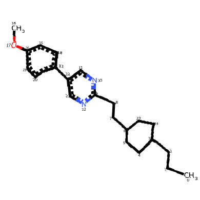 CCCC1CCC(CCc2ncc(-c3ccc(OC)cc3)cn2)CC1